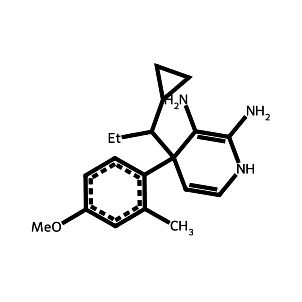 CCC(C1CC1)C1(c2ccc(OC)cc2C)C=CNC(N)=C1N